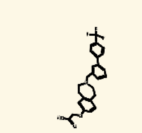 O=C(O)COc1ccc2c(c1)CCN(Cc1cccc(-c3ccc(C(F)(F)F)cc3)c1)CC2